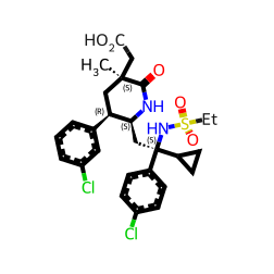 CCS(=O)(=O)N[C@](C[C@@H]1NC(=O)[C@](C)(CC(=O)O)C[C@@H]1c1cccc(Cl)c1)(c1ccc(Cl)cc1)C1CC1